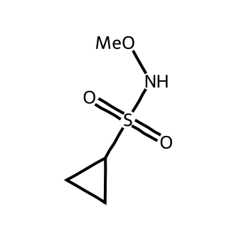 CONS(=O)(=O)C1CC1